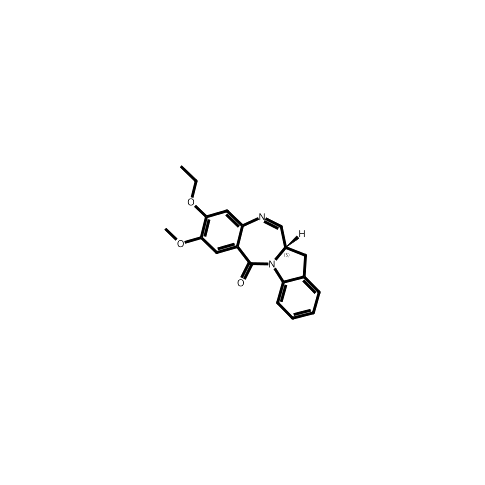 CCOc1cc2c(cc1OC)C(=O)N1c3ccccc3C[C@H]1C=N2